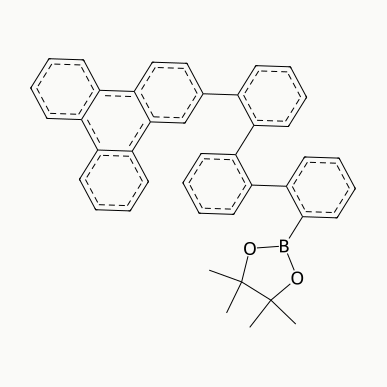 CC1(C)OB(c2ccccc2-c2ccccc2-c2ccccc2-c2ccc3c4ccccc4c4ccccc4c3c2)OC1(C)C